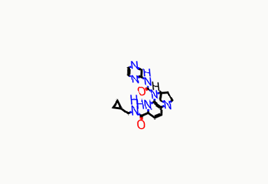 O=C(NCC1CC1)C1C=CC2=C(N1)N(C(=O)Nc1cnccn1)[C@H]1CCN2C1